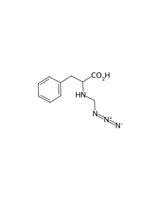 [N-]=[N+]=NCNC(Cc1ccccc1)C(=O)O